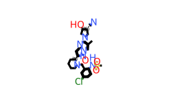 Cc1cn2nc([C@@H]3CCCCN3C(=O)c3cc(Cl)ccc3NS(C)(=O)=O)cc2nc1N1C[C@@H](O)[C@H](C#N)C1